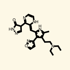 CCN(CC)CCc1c(C)[nH]c(C=C2NC=CN=C2C2C=NNC2=O)c1-c1ccon1